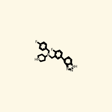 Fc1ccc(CN(Cc2cc(-c3ccc4[nH]nnc4c3)ccc2F)C2CCNCC2)cc1